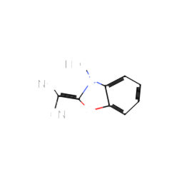 CN1C(=C(C#N)C#N)Oc2ccccc21